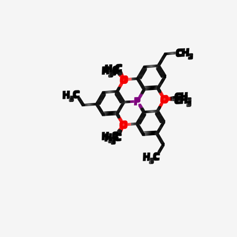 CCc1cc(OC)c(P(c2c(OC)cc(CC)cc2OC)c2c(OC)cc(CC)cc2OC)c(OC)c1